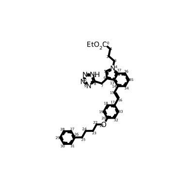 CCOC(=O)CCCn1cc(Cc2nnn[nH]2)c2c(C=Cc3ccc(OCCCCc4ccccc4)cc3)cccc21